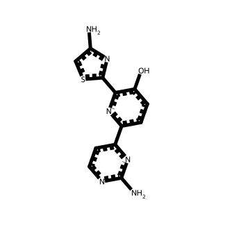 Nc1csc(-c2nc(-c3ccnc(N)n3)ccc2O)n1